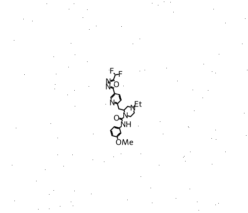 CCN1CCN(C(=O)Nc2cccc(OC)c2)C(Cc2ccc(-c3nnc(C(F)F)o3)cn2)C1